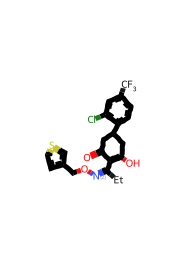 CC/C(=N/OCc1ccsc1)C1=C(O)CC(c2ccc(C(F)(F)F)cc2Cl)CC1=O